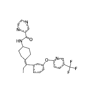 CCC(=C1CCC(NC(=O)c2cnccn2)CC1)c1cccc(Oc2ccc(C(F)(F)F)cn2)c1